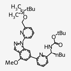 CCCC[C@H](NC(=O)OC(C)(C)C)c1cccc(-c2cc(OC)c3cnn(-c4cccc(CO[Si](C)(C)C(C)(C)C)n4)c3c2)n1